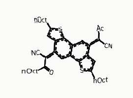 CCCCCCCCC(=O)/C(C#N)=c1\cc2c(c/c(=C(/C#N)C(C)=O)c3cc(CCCCCCCC)sc32)c2sc(CCCCCCCC)cc12